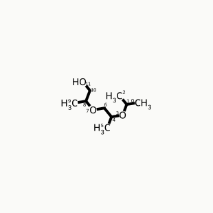 CC(C)OC(C)COC(C)CO